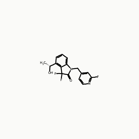 C[C@@H](O)c1cccc2c1C(F)(F)C(=O)N2Cc1ccnc(F)c1